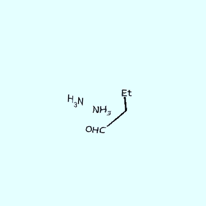 CCCC=O.N.N